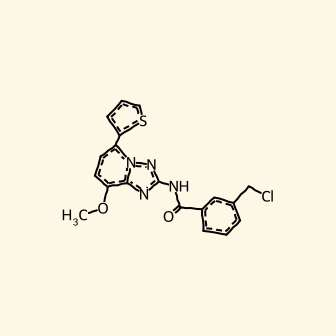 COc1ccc(-c2cccs2)n2nc(NC(=O)c3cccc(CCl)c3)nc12